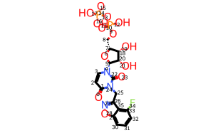 O=c1ccn([C@@H]2O[C@H](COP(=O)(O)OP(=O)(O)O)[C@H](O)[C@@H]2O)c(=O)n1Cc1noc2cccc(F)c12